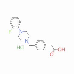 Cl.O=C(O)Cc1ccc(CN2CCN(c3ccccc3F)CC2)cc1